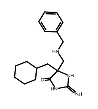 N=C1NC(=O)C(CNCc2ccccc2)(CC2CCCCC2)N1